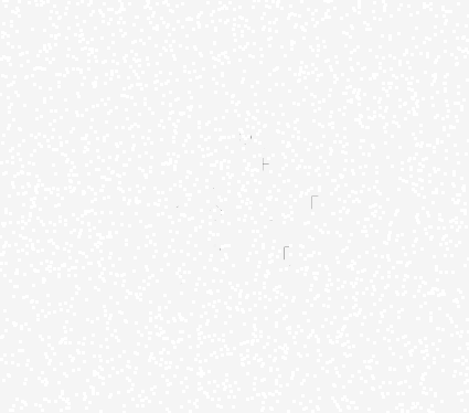 O=CC1=C(C(F)(F)F)C2C=CC1O2